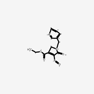 CCOC(=O)C1=C(N=O)C(=O)N(Cc2cccnc2)C1